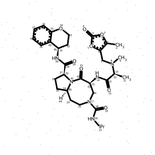 Cc1oc(=O)oc1CN(C)[C@@H](C)C(=O)N[C@H]1CN(C(=O)NC(C)C)CC[C@H]2CC[C@@H](C(=O)N[C@@H]3CCOc4ccccc43)N2C1=O